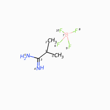 CC(C)C(=N)N.F[B-](F)(F)F